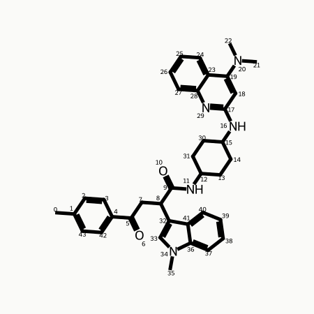 Cc1ccc(C(=O)CC(C(=O)NC2CCC(Nc3cc(N(C)C)c4ccccc4n3)CC2)c2cn(C)c3ccccc23)cc1